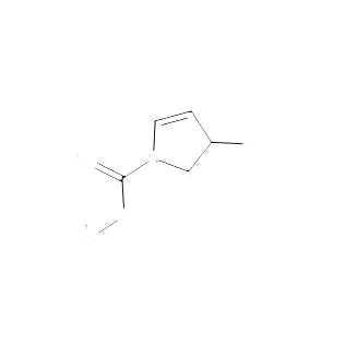 CC1C=CN(C(=O)OC(C)(C)C)C1